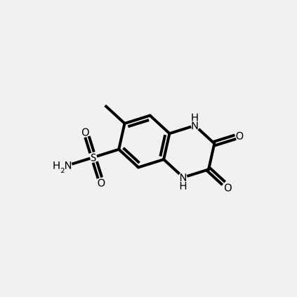 Cc1cc2[nH]c(=O)c(=O)[nH]c2cc1S(N)(=O)=O